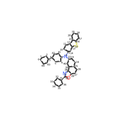 c1ccc(-c2ccc(N(c3ccc4c(c3)sc3ccccc34)c3ccc4ccc5oc(-c6ccccc6)nc5c4c3)cc2)cc1